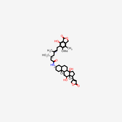 COc1c(C)c2c(c(O)c1C/C=C(\C)C[C@H](CC(=O)N[C@H]1CCC3(C)C(CCC4C3CC(O)C3(C)C(C5=CC(=O)OC5)CCC43O)C1)C(=O)O)C(=O)OC2